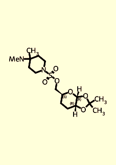 CNC1(C)CCN(S(=O)(=O)OC[C@@H]2CC[C@H]3OC(C)(C)O[C@H]3O2)CC1